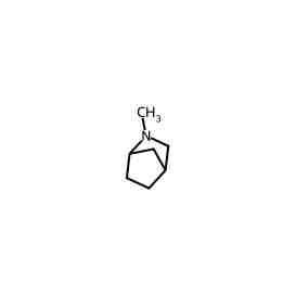 CN1CC2CCC1C2